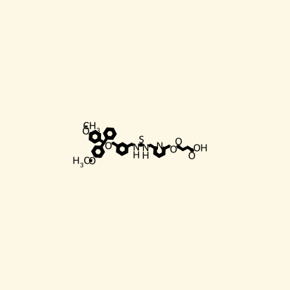 COc1ccc(C(OCc2cccc(CNC(=S)NCc3cccc(COC(=O)CCC(=O)O)n3)c2)(c2ccccc2)c2ccc(OC)cc2)cc1